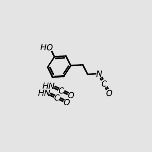 N=C=O.N=C=O.O=C=NCCc1cccc(O)c1